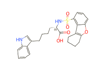 O=C(O)[C@H](CCCCc1c[nH]c2ccccc12)NS(=O)(=O)c1cccc2oc3c(c12)CCCC3